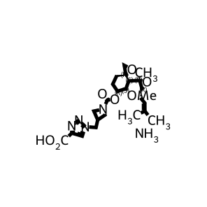 CO[C@@H]1[C@H](OC(=O)N2CC(Cn3cc(C(=O)O)nn3)C2)CC[C@]2(CO2)[C@H]1[C@@]1(C)O[C@@H]1CC=C(C)C.N